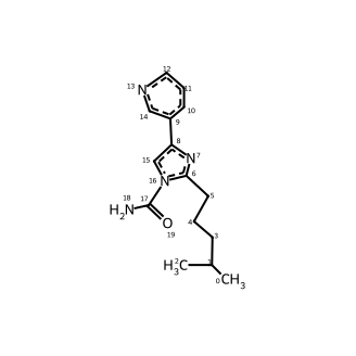 CC(C)CCCc1nc(-c2cccnc2)cn1C(N)=O